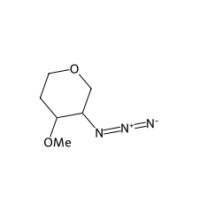 COC1CCOCC1N=[N+]=[N-]